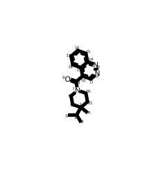 CC(C)C1(C)CCN(C(=O)c2cnnc3ccccc23)CC1